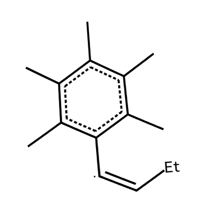 CC/C=[C]\c1c(C)c(C)c(C)c(C)c1C